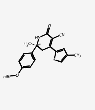 CCCCOc1ccc([C@]2(C)CC(c3cc(C)cs3)=C(C#N)C(=O)N2)cc1